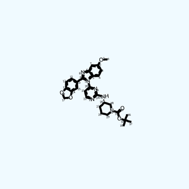 COc1ccc2c(c1)nc(-c1ccc3c(c1)OCO3)n2-c1ccnc(N[C@H]2CCCN(C(=O)OC(C)(C)C)C2)n1